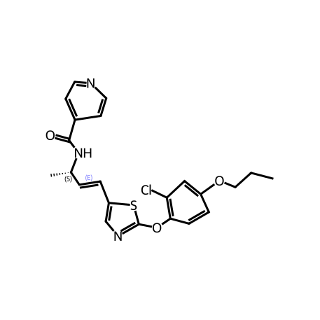 CCCOc1ccc(Oc2ncc(/C=C/[C@H](C)NC(=O)c3ccncc3)s2)c(Cl)c1